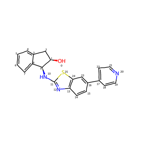 O[C@@H]1Cc2ccccc2[C@@H]1Nc1nc2ccc(-c3ccncc3)cc2s1